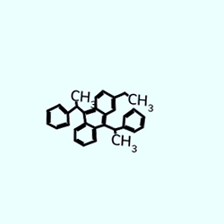 CCc1ccc2c(C(C)c3ccccc3)c3ccccc3c(C(C)c3ccccc3)c2c1